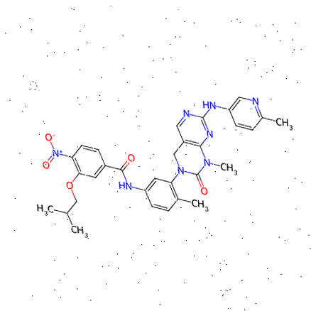 Cc1ccc(Nc2ncc3c(n2)N(C)C(=O)N(c2cc(NC(=O)c4ccc([N+](=O)[O-])c(OCC(C)C)c4)ccc2C)C3)cn1